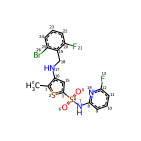 Cc1sc(S(=O)(=O)Nc2cccc(F)n2)cc1NCc1c(F)cccc1Br